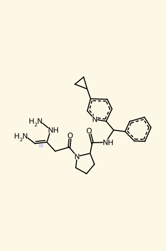 N/C=C(/CC(=O)N1CCCC1C(=O)NC(c1ccccc1)c1ccc(C2CC2)cn1)NN